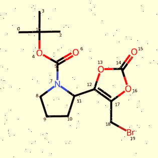 CC(C)(C)OC(=O)N1CCCC1c1oc(=O)oc1CBr